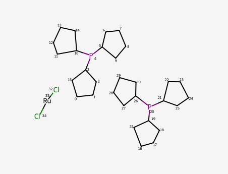 C1CCC(P(C2CCCC2)C2CCCC2)C1.C1CCC(P(C2CCCC2)C2CCCC2)C1.[Cl][Ru][Cl]